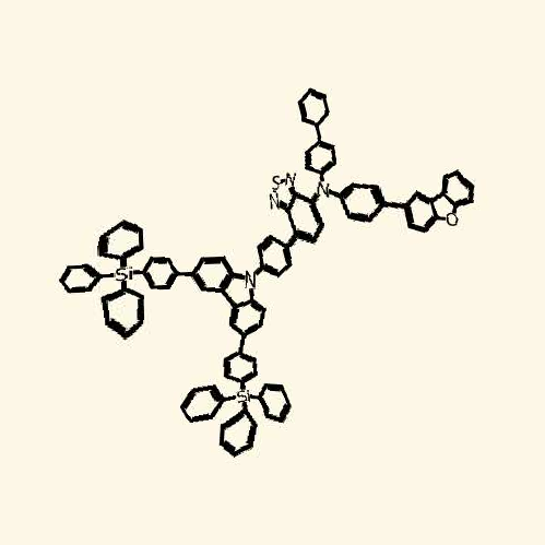 C1=CCC(c2ccc(N(c3ccc(-c4ccc5oc6ccccc6c5c4)cc3)c3ccc(-c4ccc(-n5c6ccc(-c7ccc([Si](c8ccccc8)(c8ccccc8)c8ccccc8)cc7)cc6c6cc(-c7ccc([Si](c8ccccc8)(c8ccccc8)c8ccccc8)cc7)ccc65)cc4)c4nsnc34)cc2)C=C1